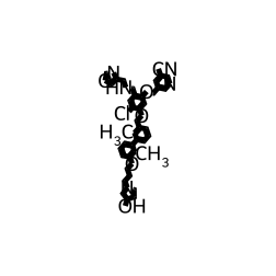 Cc1c(COc2cc(OCc3cncc(C#N)c3)c(CNCc3cocn3)cc2Cl)cccc1-c1cccc(OCCCN2CCC(O)C2)c1C